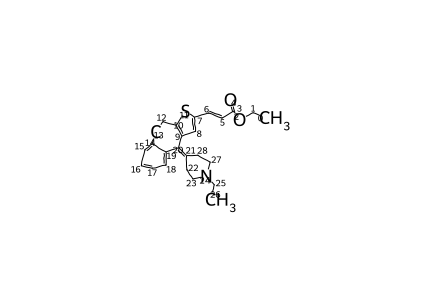 CCOC(=O)C=Cc1cc2c(s1)CCc1ccccc1C2=C1CCN(CC)CC1